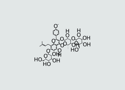 COc1ccc(-c2oc3c(CC=C(C)C)c(O[C@@H]4O[C@H](CO)[C@@H](O)[C@H](O)[C@H]4O)cc(O)c3c(=O)c2O[C@@H]2O[C@@H](C)[C@H](O)[C@@H](O[C@@H]3O[C@H](CO)[C@@H](O)[C@H](O)[C@H]3O)[C@H]2O)cc1